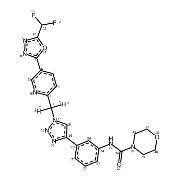 [2H]C([2H])(c1ccc(-c2nnc(C(F)F)o2)cn1)n1cc(-c2cccc(NC(=O)N3CCOCC3)c2)nn1